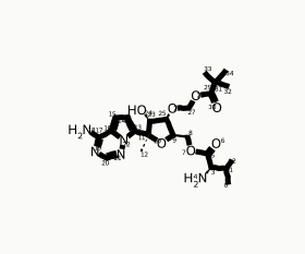 CC(C)[C@H](N)C(=O)OC[C@H]1O[C@@](C)(c2ccc3c(N)ncnn23)[C@H](O)[C@@H]1OCOC(=O)C(C)(C)C